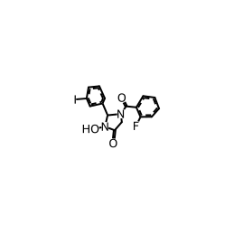 O=C1CN(C(=O)c2ccccc2F)C(c2cccc(I)c2)N1O